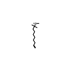 C=CCCCCCCC(C)(C)NC